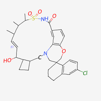 CC1/C=C/C(O)C2CCC2CN2CC3(CCCc4cc(Cl)ccc43)COc3ccc(cc32)C(=O)NS(=O)(=O)C(C)C1C